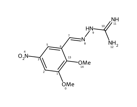 COc1cc([N+](=O)[O-])cc(C=NNC(=N)N)c1OC